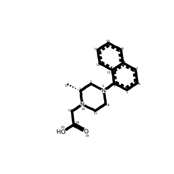 C[C@@H]1CN(c2cccc3ccccc23)CCN1CC(=O)O